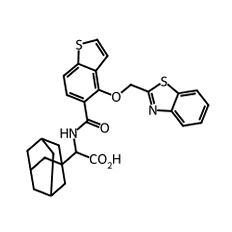 O=C(NC(C(=O)O)C12CC3CC(CC(C3)C1)C2)c1ccc2sccc2c1OCc1nc2ccccc2s1